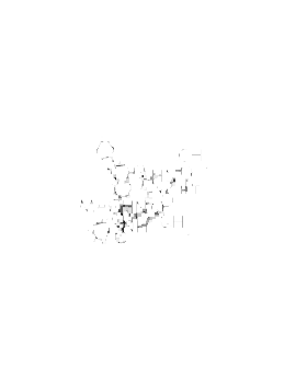 C=CC(=O)N[C@H](C(=O)N1C[C@H](Oc2cc(-c3ccccc3)nc3cc(OC)ccc23)C[C@H]1C(=O)N[C@]1(C(=O)NS(=O)(=O)c2ccccc2)C[C@H]1C=C)C(C)C